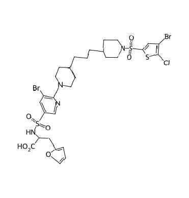 O=C(O)C(Cc1ccco1)NS(=O)(=O)c1cnc(N2CCC(CCCC3CCN(S(=O)(=O)c4cc(Br)c(Cl)s4)CC3)CC2)c(Br)c1